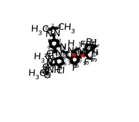 Cc1cc(C)nc(-c2ccc3c(=O)n(C4=CC=C(Cl)C5C(NS(C)(=O)=O)=NN(C)C45)c([C@H](Cc4cc(F)cc(F)c4)NC(=O)Cn4nc(C(F)F)c5c4C(F)(F)[C@@H]4C[C@H]54)nc3c2)n1